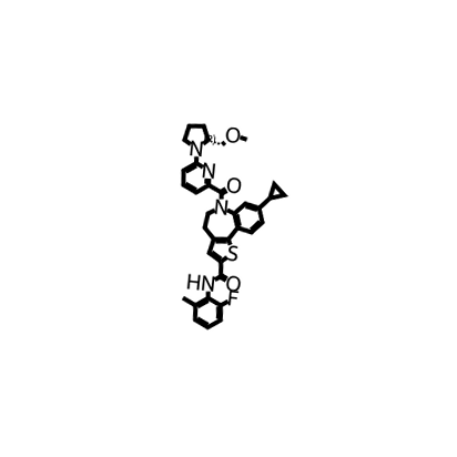 COC[C@H]1CCCN1c1cccc(C(=O)N2CCc3cc(C(=O)Nc4c(C)cccc4F)sc3-c3ccc(C4CC4)cc32)n1